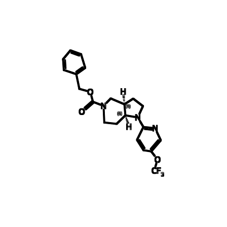 O=C(OCc1ccccc1)N1CC[C@H]2[C@H](CCN2c2ccc(OC(F)(F)F)cn2)C1